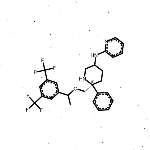 CC(OC[C@@]1(c2ccccc2)CCC(Nc2ccccn2)CN1)c1cc(C(F)(F)F)cc(C(F)(F)F)c1